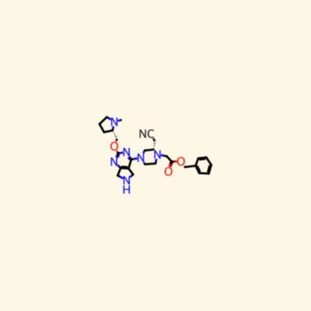 CN1CCC[C@H]1COc1nc2c(c(N3CCN(CC(=O)OCc4ccccc4)[C@@H](CC#N)C3)n1)CNC2